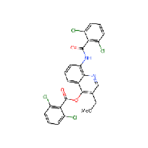 COCc1cnc2c(NC(=O)c3c(Cl)cccc3Cl)cccc2c1OC(=O)c1c(Cl)cccc1Cl